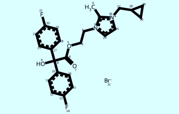 Cc1n(CCOC(=O)C(O)(c2ccc(F)cc2)c2ccc(F)cc2)cc[n+]1CC1CC1.[Br-]